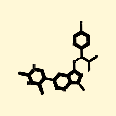 Cn1nc(O[C@H](c2ccc(F)cn2)C(F)F)c2cc(-c3c[nH]c(=O)[nH]c3=O)nnc21